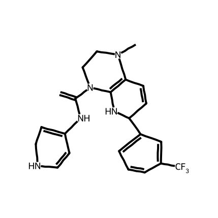 C=C(NC1=CCNC=C1)N1CCN(C)C2=C1NC(c1cccc(C(F)(F)F)c1)C=C2